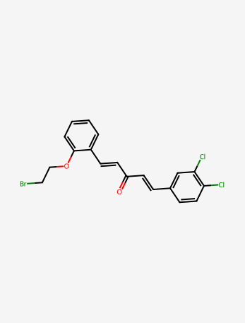 O=C(C=Cc1ccc(Cl)c(Cl)c1)C=Cc1ccccc1OCCBr